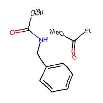 CC(C)COC(=O)NCc1ccccc1.CCC(=O)OC